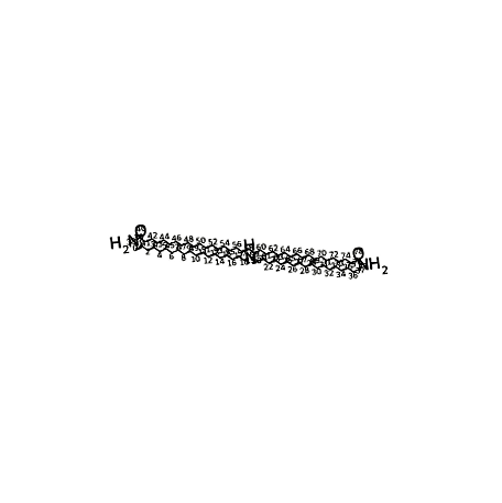 C=CCCCCCCCCCCCCCCCCCNCCCCCCCCCCCCCCCCCC.NC(=O)CCCCCCCCCCCCCCCCCCCCCCCCCCCCCCCCCCCC(N)=O